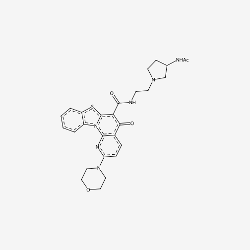 CC(=O)NC1CCN(CCNC(=O)c2c(=O)c3ccc(N4CCOCC4)nc3n3c2sc2ccccc23)C1